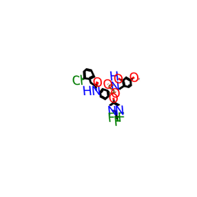 COc1ccc(CNS(=O)(=O)c2cc(NC(=O)Cc3ccccc3Cl)ccc2Oc2cnc(C(F)(F)F)nc2)c(OC)c1